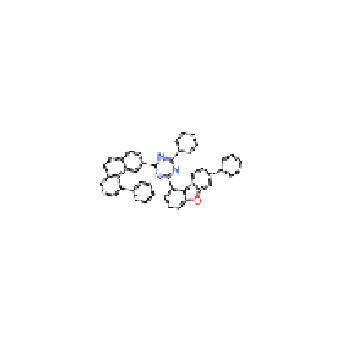 c1ccc(-c2ccc3c(c2)oc2cccc(-c4nc(-c5ccccc5)nc(-c5ccc6ccc7cccc(-c8ccccc8)c7c6c5)n4)c23)cc1